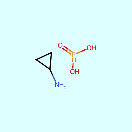 NC1CC1.O=[PH](O)O